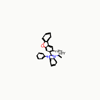 C=C(CCC)[n+]1c(-c2cc3oc4ccccc4c3cc2CCC)n(-c2ccccc2)c2ccccc21